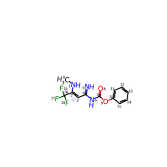 CN/C(=C\C(=N)NC(=O)Oc1ccccc1)C(F)(F)F